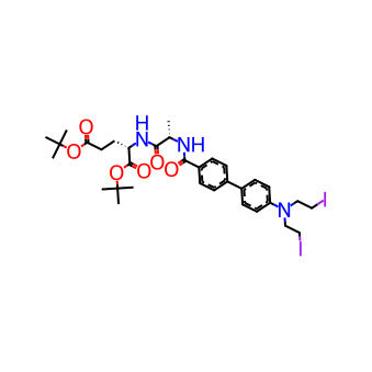 C[C@H](NC(=O)c1ccc(-c2ccc(N(CCI)CCI)cc2)cc1)C(=O)N[C@@H](CCC(=O)OC(C)(C)C)C(=O)OC(C)(C)C